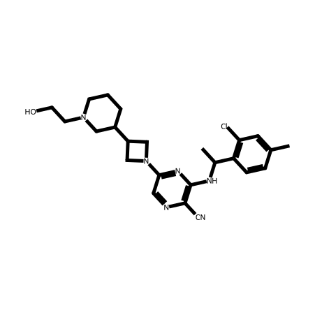 Cc1ccc(C(C)Nc2nc(N3CC(C4CCCN(CCO)C4)C3)cnc2C#N)c(Cl)c1